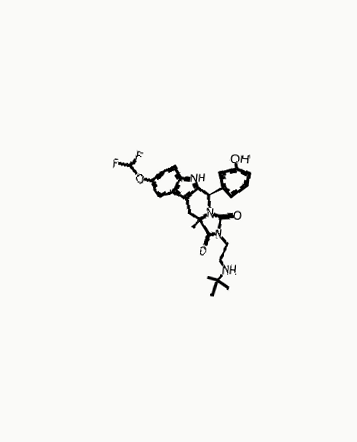 CC(C)(C)NCCN1C(=O)N2[C@H](c3cccc(O)c3)c3[nH]c4ccc(OC(F)F)cc4c3C[C@@]2(C)C1=O